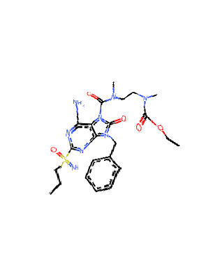 CCCS(=N)(=O)c1nc(N)c2c(n1)n(Cc1ccccc1)c(=O)n2C(=O)N(C)CCN(C)C(=O)OCC